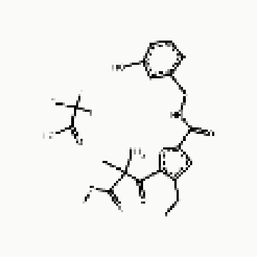 CCc1cc(C(=O)NCc2cccc(O)c2)sc1C(=O)C(C)(N)C(=O)OC.O=C(O)C(F)(F)F